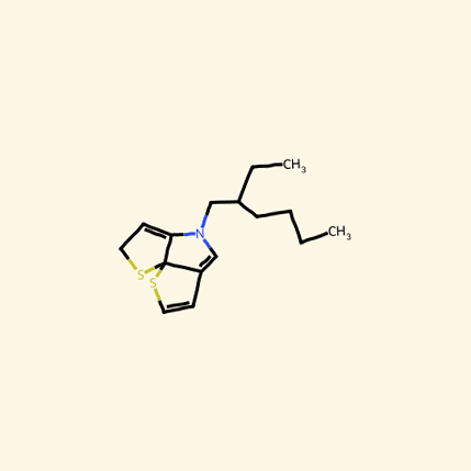 CCCCC(CC)CN1C=C2C=CSC23SCC=C13